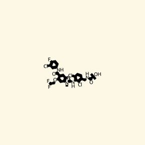 Cn1c(Nc2c(Cl)ccc(CNC(=O)C(C)(C)O)c2Cl)nc2cc(C(=O)Nc3ccc(F)c(Cl)c3)c(OCC(F)F)cc21